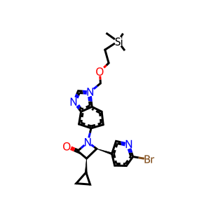 C[Si](C)(C)CCOCn1cnc2cc(N3C(=O)[C@H](C4CC4)[C@@H]3c3ccc(Br)nc3)ccc21